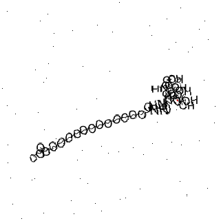 CCC1CC(C(=O)NCCNC(=O)CCOCCOCCOCCOCCOCCOCCOCCOCCOCCOCCOCCOCCOC(=O)OCc2ccccc2)C[C@@H](O[C@@H]2OC(CO)[C@H](O)C(O[C@@H](CC3CCCCC3)C(=O)O)C2NC(C)=O)C1O[C@@H]1OC(C)[C@@H](O)C(O)C1O